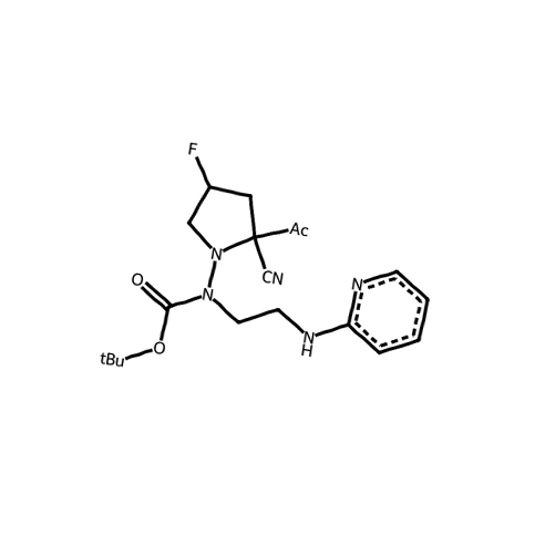 CC(=O)C1(C#N)CC(F)CN1N(CCNc1ccccn1)C(=O)OC(C)(C)C